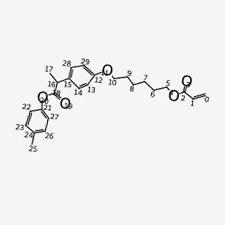 C=CC(=O)OCCCCCCOc1ccc(C(C)C(=O)Oc2ccc(C)cc2)cc1